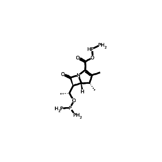 CC1=C(C(=O)OPP)N2C(=O)[C@H]([C@@H](C)OP(P)P)[C@H]2[C@H]1C